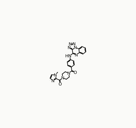 Cn1ccnc1C(=O)N1CCN(C(=O)c2ccc(Nc3nc4ccccc4n4nnnc34)cc2)CC1